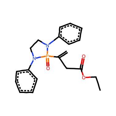 C=C(CC(=O)OCC)P1(=O)N(c2ccccc2)CCN1c1ccccc1